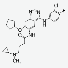 CN(CCCC(=O)Nc1cc2c(Nc3ccc(F)c(Cl)c3)ncnc2cc1OC1CCCC1)C1CC1